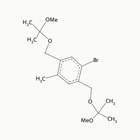 COC(C)(C)OCc1cc(Br)c(COC(C)(C)OC)cc1C